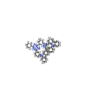 c1ccc(-c2nc(-c3ccccc3)nc(-c3cccc(-n4c5ccccc5c5ccc(-c6nnc(-c7cccc8c9ccccc9n(-c9ccccc9)c78)s6)cc54)c3)n2)cc1